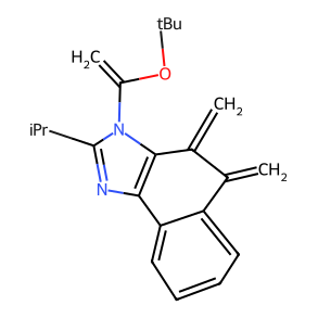 C=C(OC(C)(C)C)n1c(C(C)C)nc2c3ccccc3c(=C)c(=C)c21